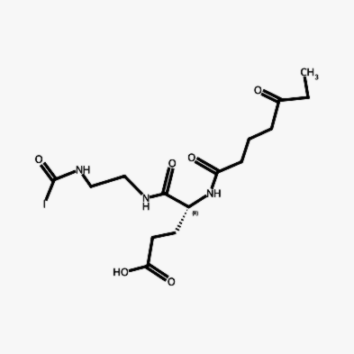 CCC(=O)CCCC(=O)N[C@H](CCC(=O)O)C(=O)NCCNC(=O)I